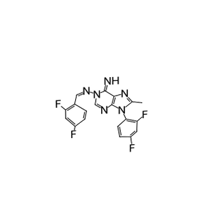 Cc1nc2c(=N)n(/N=C\c3ccc(F)cc3F)cnc2n1-c1ccc(F)cc1F